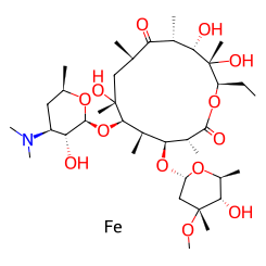 CC[C@H]1OC(=O)[C@H](C)[C@@H](O[C@H]2C[C@@](C)(OC)[C@@H](O)[C@H](C)O2)[C@@H](C)[C@@H](O[C@@H]2O[C@H](C)C[C@H](N(C)C)[C@H]2O)[C@](C)(O)C[C@@H](C)C(=O)[C@H](C)[C@H](O)[C@]1(C)O.[Fe]